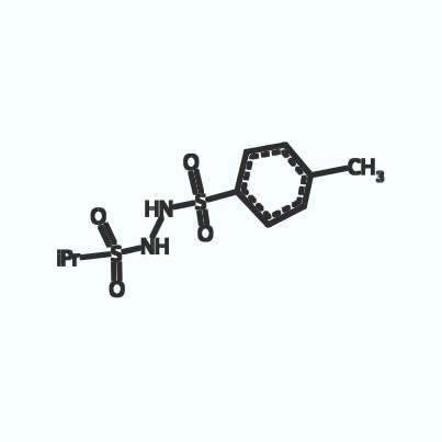 Cc1ccc(S(=O)(=O)NNS(=O)(=O)C(C)C)cc1